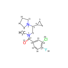 CN(CC(C1CC1)N1CCCC1)C(=O)c1ccc(F)c(Cl)c1